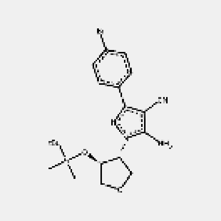 CC(C)(C)[Si](C)(C)O[C@@H]1COC[C@H]1n1nc(-c2ccc(Br)cc2)c(C#N)c1N